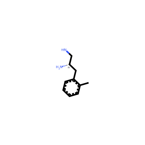 Cc1ccccc1C[C@H](N)C[NH]